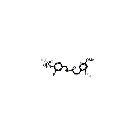 COc1cc(C(F)(F)F)c(/C=C\C(=O)NCc2ccc(NS(C)(=O)=O)c(F)c2)cn1